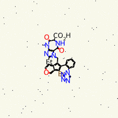 CCc1nc2c(n1Cc1c3ccocc-3c(Br)c1-c1ccccc1-n1cnnn1)C(=O)NC(C(=O)O)C(=O)N2C